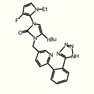 CCCCc1cn(-c2c(F)ccn2CC)c(=O)n1Cc1ccc(-c2ccccc2-c2nnn[nH]2)nc1